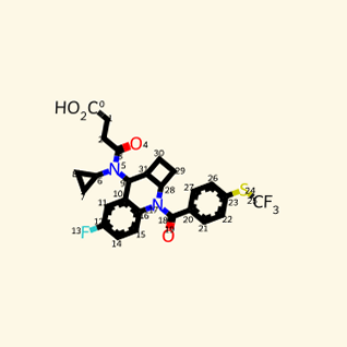 O=C(O)CCC(=O)N(C1CC1)C1c2cc(F)ccc2N(C(=O)c2ccc(SC(F)(F)F)cc2)C2CCC21